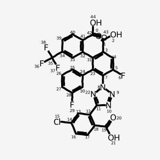 O=C(O)c1[c]c(F)c(-n2nnc(-c3cc(Cl)ccc3C(=O)O)n2)c(-c2cccc(F)c2)c1-c1cc(C(F)(F)F)ccc1C(=O)O